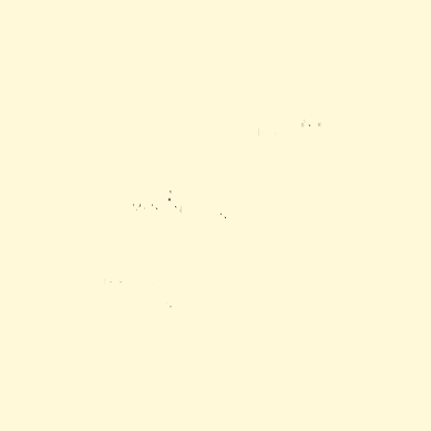 CCCCCCCCCOC(O)CCCCCCCN(CCCCCCCC(O)OC(CCCCCCCC)CCCCCCCC)CCCNC(=S)NC